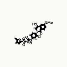 CNc1ccc2c(=O)n(-c3ccc(NC(=O)NS(=O)(=O)c4ccc(C)s4)cc3Cl)cc(S)c2c1